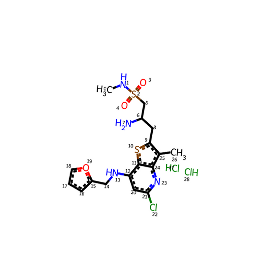 CNS(=O)(=O)CC(N)Cc1sc2c(NCc3ccco3)cc(Cl)nc2c1C.Cl.Cl